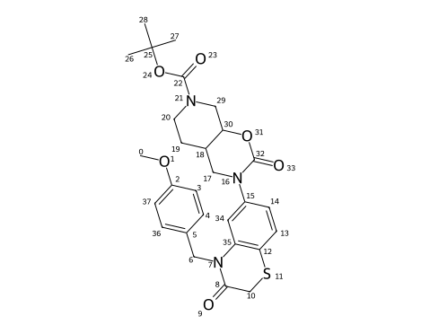 COc1ccc(CN2C(=O)CSc3ccc(N4CC5CCN(C(=O)OC(C)(C)C)CC5OC4=O)cc32)cc1